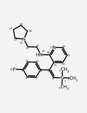 C[Si](C)(C)C=C(c1ccc(F)cc1)c1cccnc1NCCN1CCCC1